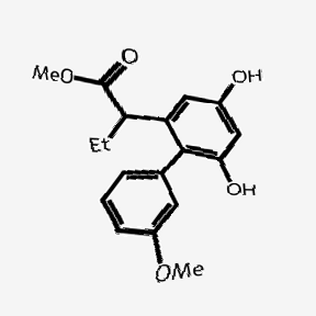 CCC(C(=O)OC)c1cc(O)cc(O)c1-c1cccc(OC)c1